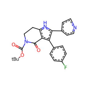 CC(C)(C)OC(=O)N1CCc2[nH]c(-c3ccncc3)c(-c3ccc(F)cc3)c2C1=O